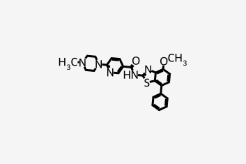 COc1ccc(-c2ccccc2)c2sc(NC(=O)c3ccc(N4CCN(C)CC4)nc3)nc12